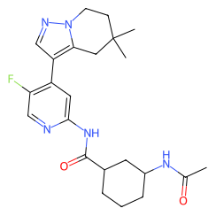 CC(=O)NC1CCCC(C(=O)Nc2cc(-c3cnn4c3CC(C)(C)CC4)c(F)cn2)C1